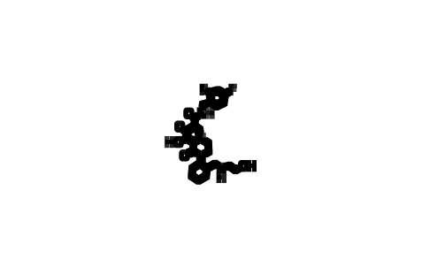 O=C(NCc1ccc(F)cc1F)c1cn2c(c(O)c1=O)C(=O)N(C1CCCCC1CNCCO)CC2